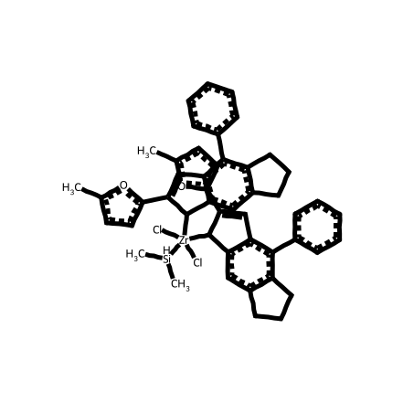 Cc1ccc(C2=Cc3c(cc4c(c3-c3ccccc3)CCC4)[CH]2[Zr]([Cl])([Cl])([CH]2C(c3ccc(C)o3)=Cc3c2cc2c(c3-c3ccccc3)CCC2)[SiH](C)C)o1